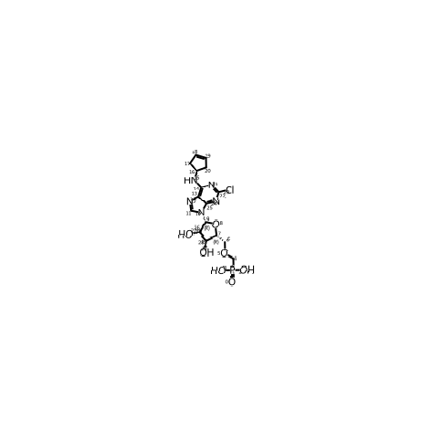 O=P(O)(O)COC[C@H]1O[C@@H](n2cnc3c(NC4CC=CC4)nc(Cl)nc32)[C@H](O)[C@@H]1O